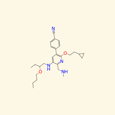 CCCCOC(CC)CNc1cc(-c2ccc(C#N)cc2)c(OCCC2CC2)nc1CNC